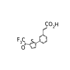 O=C(O)C=Cc1cccc(-c2ccc(C(=O)C(F)(F)F)s2)c1